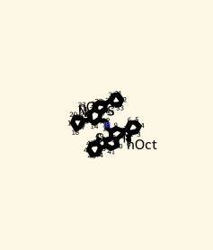 CCCCCCCCn1c2ccccc2c2cc(/C=C/c3cc4c5ccccc5n(CCCCCCCC)c4c4ccc5c6ccccc6sc5c34)c3c(ccc4c5ccccc5sc43)c21